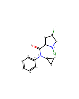 O=C(C1CC(F)CN1Cl)N(c1ccccc1)C1CC1